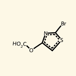 O=C(O)Oc1csc(Br)n1